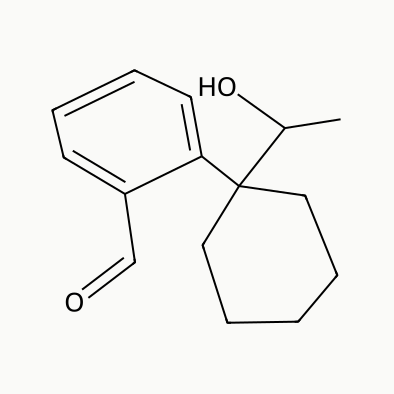 CC(O)C1(c2ccccc2C=O)CCCCC1